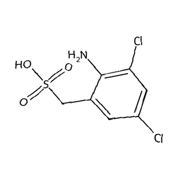 Nc1c(Cl)cc(Cl)cc1CS(=O)(=O)O